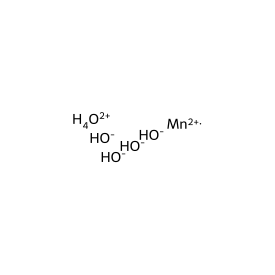 [Mn+2].[OH-].[OH-].[OH-].[OH-].[OH4+2]